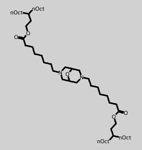 CCCCCCCCC(CCCCCCCC)CCOC(=O)CCCCCCCN1CC2CN(CCCCCCCC(=O)OCCC(CCCCCCCC)CCCCCCCC)CC(C1)O2